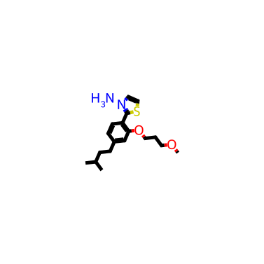 COCCCOc1cc(CCC(C)C)ccc1-c1nccs1.N